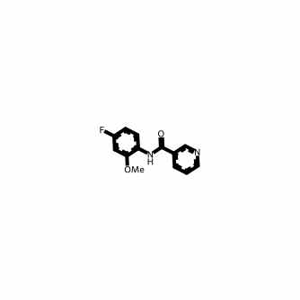 COc1cc(F)ccc1NC(=O)c1cccnc1